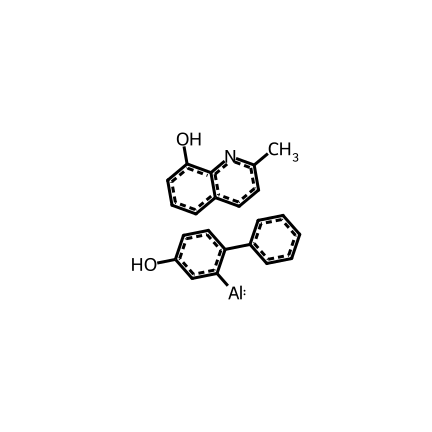 Cc1ccc2cccc(O)c2n1.Oc1ccc(-c2ccccc2)[c]([Al])c1